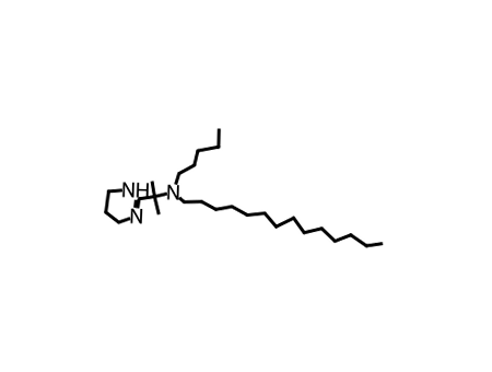 CCCCCCCCCCCCCCN(CCCCC)C(C)(C)C1=NCCCN1